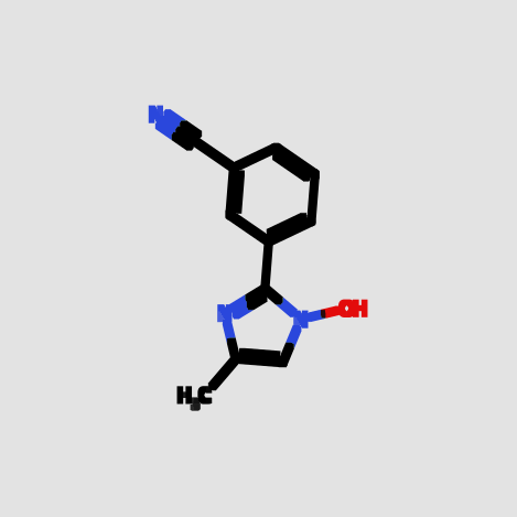 Cc1cn(O)c(-c2cccc(C#N)c2)n1